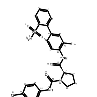 NS(=O)(=O)c1ccccc1-c1ccc(NC(=O)[C@H]2CCCN2C(=O)Nc2ccc(Cl)cc2)c(F)c1